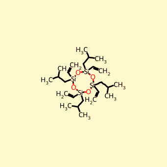 C=C[Si]1(CC(C)C)O[Si](C=C)(CC(C)C)O[Si](C=C)(CC(C)C)O[Si](C=C)(CC(C)C)O1